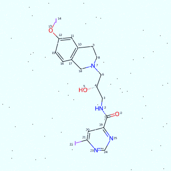 O=C(NC[C@H](O)CN1CCc2cc(OI)ccc2C1)c1cc(I)ncn1